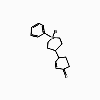 CC[Si]1(c2ccccc2)CCC(C2C=CC(=O)CC2)CC1